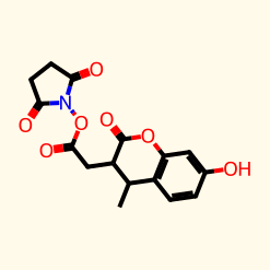 CC1c2ccc(O)cc2OC(=O)C1CC(=O)ON1C(=O)CCC1=O